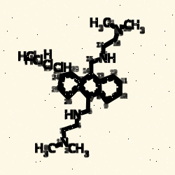 CN(C)CCNCc1c2ccccc2c(CNCCN(C)C)c2ccccc12.Cl.Cl.Cl.Cl